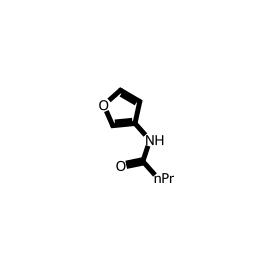 CCCC(=O)Nc1ccoc1